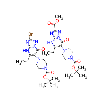 CCc1[nH]c2nc(Br)nn2c(=O)c1N1CCN(C(=O)OC(C)(C)C)CC1.CCc1[nH]c2nc(C(=O)OC)nn2c(=O)c1N1CCN(C(=O)OC(C)(C)C)CC1